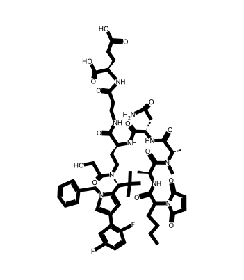 CCCCC(C(=O)N[C@@H](C)C(=O)N(C)[C@@H](C)C(=O)N[C@@H](CC(N)=O)C(=O)N[C@@H](CCN(C(=O)CO)[C@@H](c1cc(-c2cc(F)ccc2F)cn1Cc1ccccc1)C(C)(C)C)C(=O)NCCC(=O)N[C@H](CCC(=O)O)C(=O)O)N1C(=O)C=CC1=O